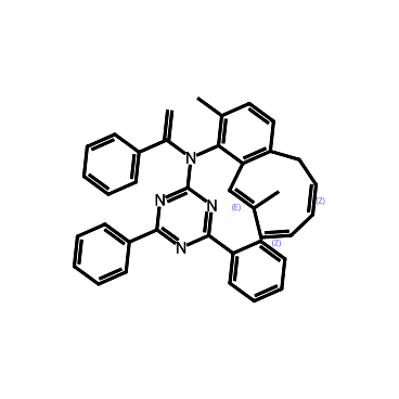 C=C(c1ccccc1)N(c1nc(-c2ccccc2)nc(-c2ccccc2)n1)c1c(C)ccc2c1/C=C(C)/C=C\C=C/C2